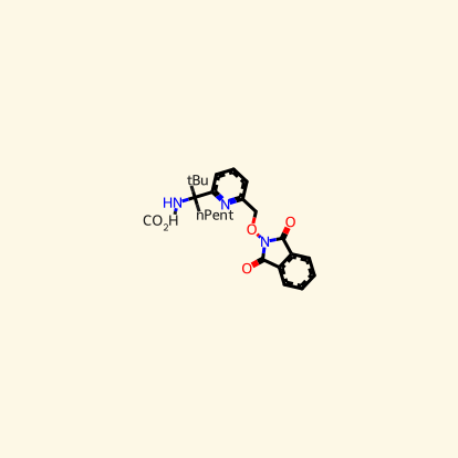 CCCCCC(NC(=O)O)(c1cccc(CON2C(=O)c3ccccc3C2=O)n1)C(C)(C)C